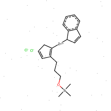 C[Si](C)(C)OCCCC1=[C]([Zr+2][CH]2C=Cc3ccccc32)CC=C1.[Cl-].[Cl-]